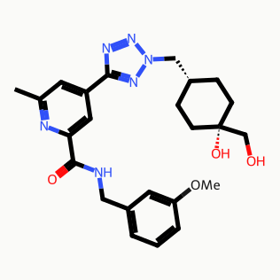 COc1cccc(CNC(=O)c2cc(-c3nnn(C[C@H]4CC[C@](O)(CO)CC4)n3)cc(C)n2)c1